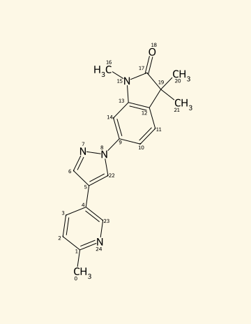 Cc1ccc(-c2cnn(-c3ccc4c(c3)N(C)C(=O)C4(C)C)c2)cn1